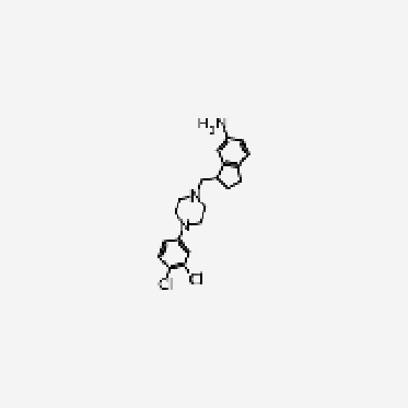 Nc1ccc2c(c1)C(CN1CCN(c3ccc(Cl)c(Cl)c3)CC1)CC2